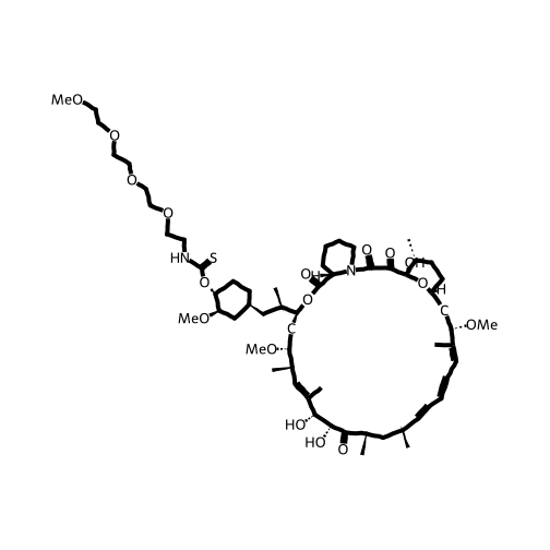 COCCOCCOCCOCCNC(=S)O[C@@H]1CC[C@@H](C[C@@H](C)[C@@H]2C[C@@H](OC)[C@H](C)/C=C(\C)[C@@H](O)[C@@H](O)C(=O)[C@H](C)C[C@H](C)/C=C/C=C/C=C(\C)[C@@H](OC)C[C@@H]3CC[C@@H](C)[C@@](O)(O3)C(=O)C(=O)N3CCCC[C@H]3C(=O)O2)C[C@H]1OC